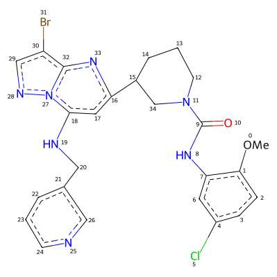 COc1ccc(Cl)cc1NC(=O)N1CCCC(c2cc(NCc3cccnc3)n3ncc(Br)c3n2)C1